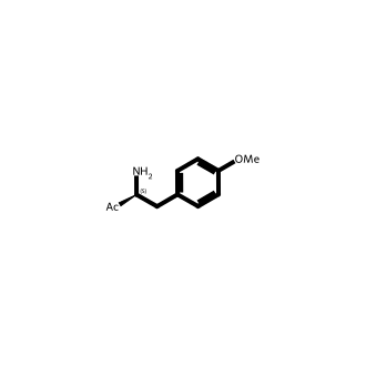 COc1ccc(C[C@H](N)C(C)=O)cc1